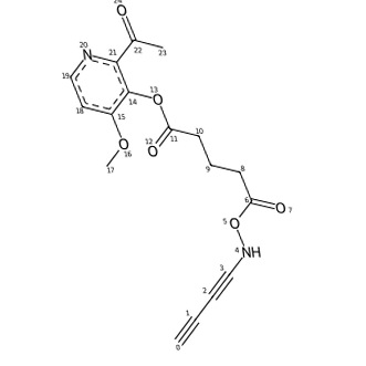 C#CC#CNOC(=O)CCCC(=O)Oc1c(OC)ccnc1C(C)=O